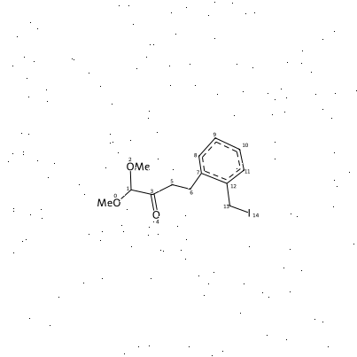 COC(OC)C(=O)CCc1ccccc1CI